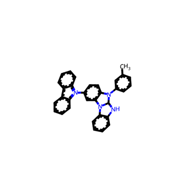 Cc1cccc(N2c3ccc(-n4c5ccccc5c5ccccc54)cc3N3c4ccccc4NC23)c1